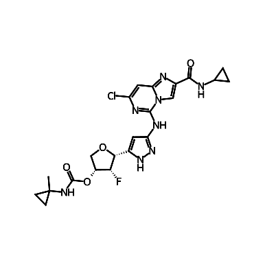 CC1(NC(=O)O[C@@H]2CO[C@H](c3cc(Nc4nc(Cl)cc5nc(C(=O)NC6CC6)cn45)n[nH]3)[C@@H]2F)CC1